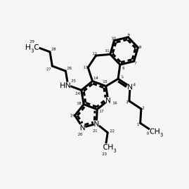 CCCCN=C1c2ccccc2CCc2c1nc1c(cnn1CC)c2NCCCC